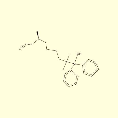 C[C@H](CC=O)CCCCC(C)(C)[Si](O)(c1ccccc1)c1ccccc1